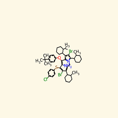 CC1CCCCC1C1=C\Cn2c(c(C3CCCCC3C)c(Br)c2C2CCCCC2C)/C(Oc2ccc(C(C)(C)C)cc2)=C(N)/C(Sc2ccc(Cl)cc2)=C\1Br